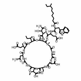 CCC(C)CCCCCCC(=O)NC(Cc1c[nH]c2ccccc12)C(=O)NC(CCC(=O)O)C(=O)NC(C(=O)NC1C(=O)N(C)CC(=O)NC(C)C(=O)NC(CC(=O)O)C(=O)NC(CO)C(=O)NC(C(OC)C(=O)O)C(=O)NCC(=O)NC(CC(N)=O)C(=O)NC(C(C)CC(=O)O)C(=O)NC(C(C)CC)C(=O)OC1C)C(O)C(N)=O